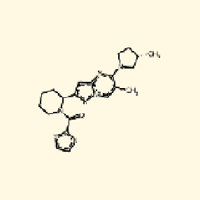 Cc1cn2nc([C@@H]3CCCCN3C(=O)c3nccs3)cc2nc1N1CC[C@H](C)C1